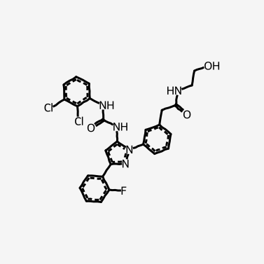 O=C(Cc1cccc(-n2nc(-c3ccccc3F)cc2NC(=O)Nc2cccc(Cl)c2Cl)c1)NCCO